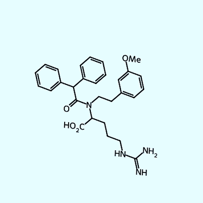 COc1cccc(CCN(C(=O)C(c2ccccc2)c2ccccc2)C(CCCNC(=N)N)C(=O)O)c1